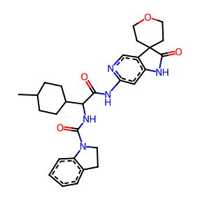 CC1CCC(C(NC(=O)N2CCc3ccccc32)C(=O)Nc2cc3c(cn2)C2(CCOCC2)C(=O)N3)CC1